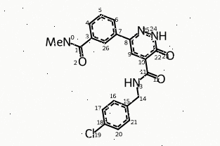 CNC(=O)c1cccc(-c2cc(C(=O)NCc3ccc(Cl)cc3)c(=O)[nH]n2)c1